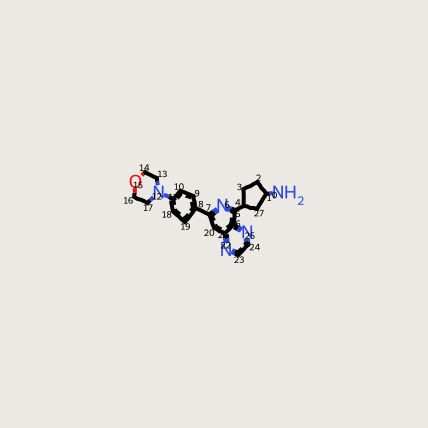 NC1CCC(c2nc(-c3ccc(N4CCOCC4)cc3)cc3nccnc23)C1